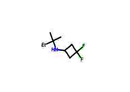 CCC(C)(C)NC1CC(F)(F)C1